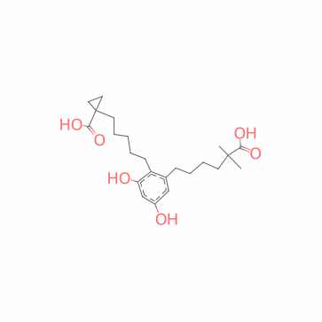 CC(C)(CCCCc1cc(O)cc(O)c1CCCCCC1(C(=O)O)CC1)C(=O)O